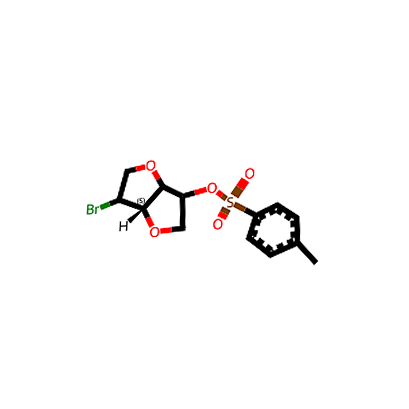 Cc1ccc(S(=O)(=O)OC2CO[C@@H]3C(Br)COC23)cc1